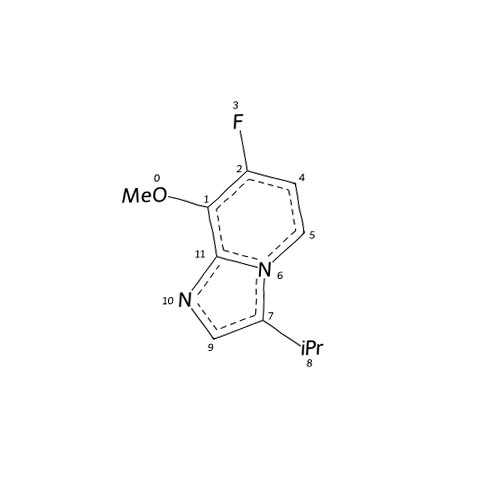 COc1c(F)ccn2c(C(C)C)cnc12